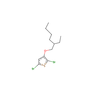 CCCCC(CC)COc1cc(Br)sc1Br